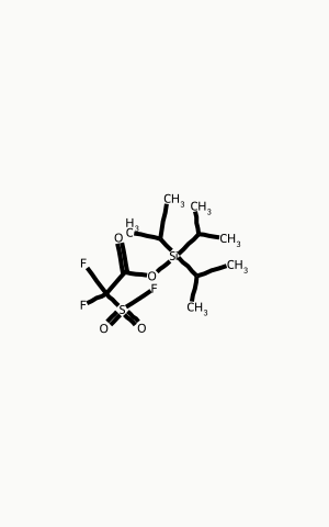 CC(C)[Si](OC(=O)C(F)(F)S(=O)(=O)F)(C(C)C)C(C)C